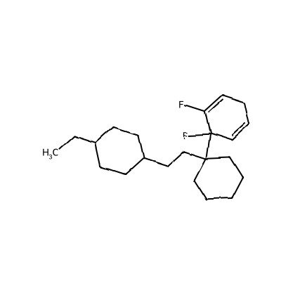 CCC1CCC(CCC2(C3(F)C=CCC=C3F)CCCCC2)CC1